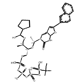 C[C@@H](OC(O)C1CCCC1)[C@@H](COP(=O)(O)OP(=O)(O)OP(=O)(O)OP(=O)(O)C(C)(C)C)O[C@H](C)N1C=C2C=C(c3ccc4ccccc4c3)OC2NC1=O